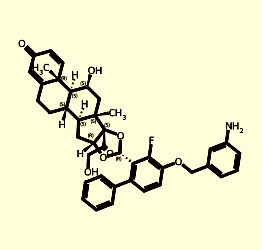 C[C@]12C=CC(=O)C=C1CC[C@@H]1[C@@H]2[C@@H](O)C[C@@]2(C)[C@H]1C[C@H]1O[C@@H](c3c(-c4ccccc4)ccc(OCc4cccc(N)c4)c3F)O[C@]12C(=O)CO